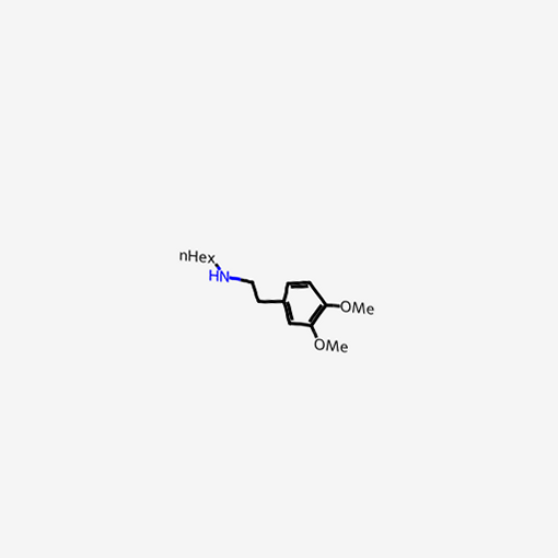 [CH2]CCCCCNCCc1ccc(OC)c(OC)c1